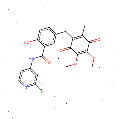 COC1=C(OC)C(=O)C(Cc2ccc(O)c(C(=O)Nc3ccnc(Cl)c3)c2)=C(C)C1=O